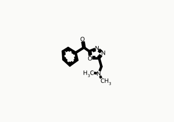 CN(C)Cc1nnc(C(=O)c2ccccc2)o1